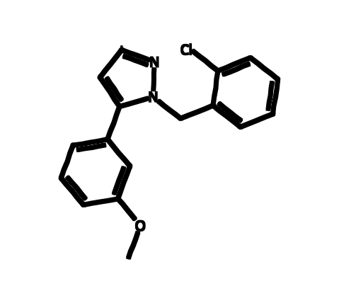 COc1cccc(-c2c[c]nn2Cc2ccccc2Cl)c1